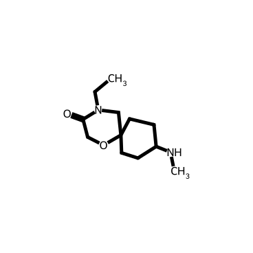 CCN1CC2(CCC(NC)CC2)OCC1=O